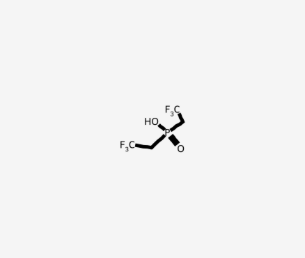 O=P(O)(CC(F)(F)F)CC(F)(F)F